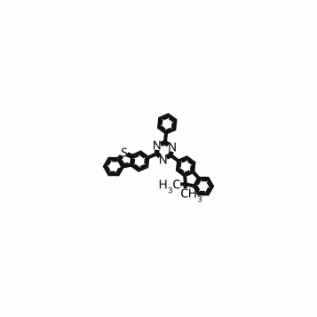 CC1(C)c2ccccc2-c2ccc(-c3nc(-c4ccccc4)nc(-c4ccc5c(c4)sc4ccccc45)n3)cc21